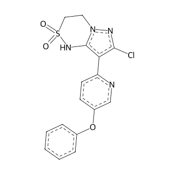 O=S1(=O)CCn2nc(Cl)c(-c3ccc(Oc4ccccc4)cn3)c2N1